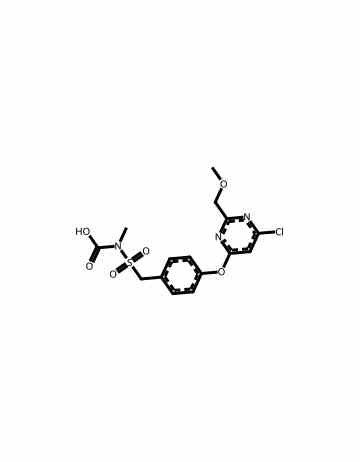 COCc1nc(Cl)cc(Oc2ccc(CS(=O)(=O)N(C)C(=O)O)cc2)n1